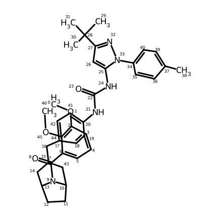 COc1cccc(C(=O)N2C3CCC2CC(Cc2ccc(NC(=O)Nc4cc(C(C)(C)C)nn4-c4ccc(C)cc4)cc2)C3)c1OC